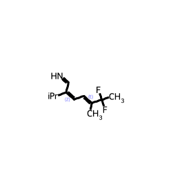 C/C(=C\C=C(/C=N)C(C)C)C(C)(F)F